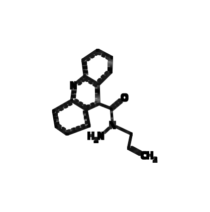 C=CCN(N)C(=O)c1c2ccccc2nc2ccccc12